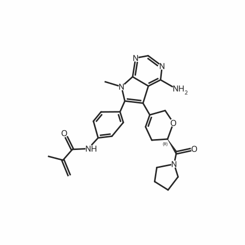 C=C(C)C(=O)Nc1ccc(-c2c(C3=CC[C@H](C(=O)N4CCCC4)OC3)c3c(N)ncnc3n2C)cc1